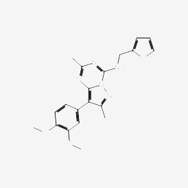 COc1ccc(-c2c(C)nn3c(NCc4cccs4)nc(C)nc23)cc1OC